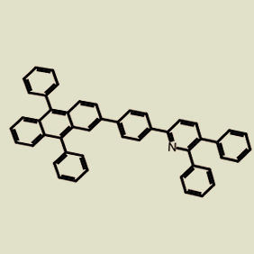 c1ccc(-c2ccc(-c3ccc(-c4ccc5c(-c6ccccc6)c6ccccc6c(-c6ccccc6)c5c4)cc3)nc2-c2ccccc2)cc1